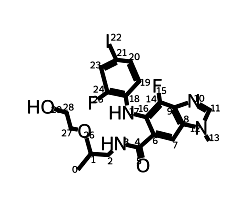 CC(CNC(=O)c1cc2c(ncn2C)c(F)c1Nc1ccc(I)cc1F)OCCO